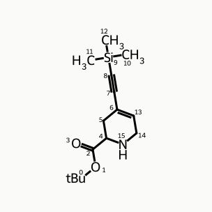 CC(C)(C)OC(=O)C1CC(C#C[Si](C)(C)C)=CCN1